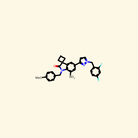 COc1ccc(CN2C(=O)C3(CCC3)c3cc(-c4ccn(Cc5ccc(F)cc5F)n4)cc([N+](=O)[O-])c32)cc1